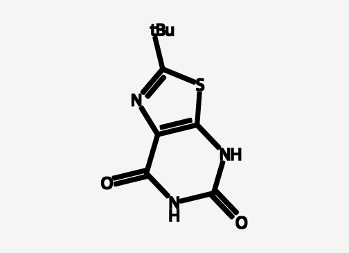 CC(C)(C)c1nc2c(=O)[nH]c(=O)[nH]c2s1